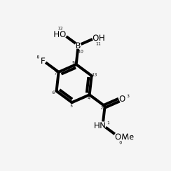 CONC(=O)c1ccc(F)c(B(O)O)c1